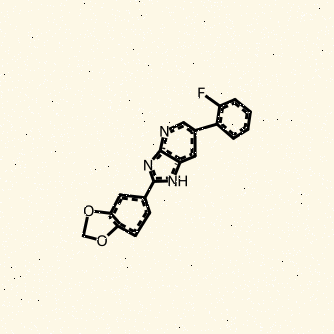 Fc1ccccc1-c1cnc2nc(-c3ccc4c(c3)OCO4)[nH]c2c1